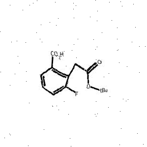 CC(C)(C)OC(=O)Cc1c(F)cccc1C(=O)O